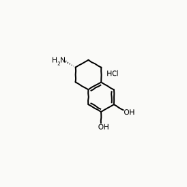 Cl.N[C@@H]1CCc2cc(O)c(O)cc2C1